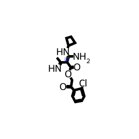 CC(=N)/C(C(=O)OCC(=O)c1ccccc1Cl)=C(/N)NC1CCC1